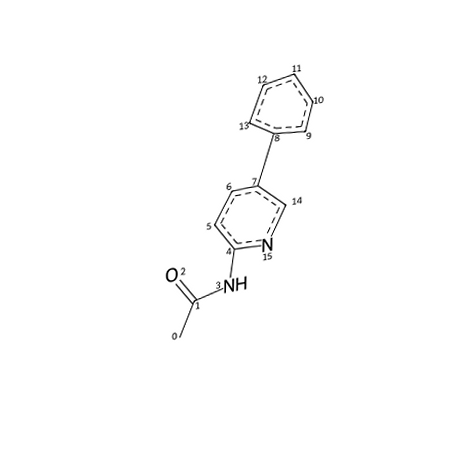 CC(=O)Nc1ccc(-c2ccccc2)cn1